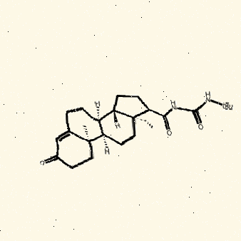 CC(C)(C)NC(=O)NC(=O)C1CC[C@H]2[C@@H]3CCC4=CC(=O)CC[C@]4(C)[C@@H]3CC[C@]12C